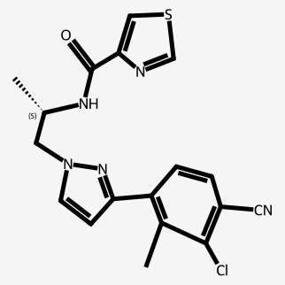 Cc1c(-c2ccn(C[C@H](C)NC(=O)c3cscn3)n2)ccc(C#N)c1Cl